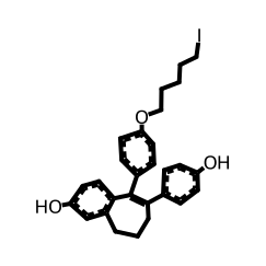 Oc1ccc(C2=C(c3ccc(OCCCCCI)cc3)c3ccc(O)cc3CCC2)cc1